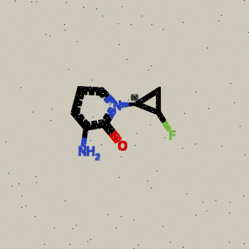 Nc1cccn([C@H]2CC2F)c1=O